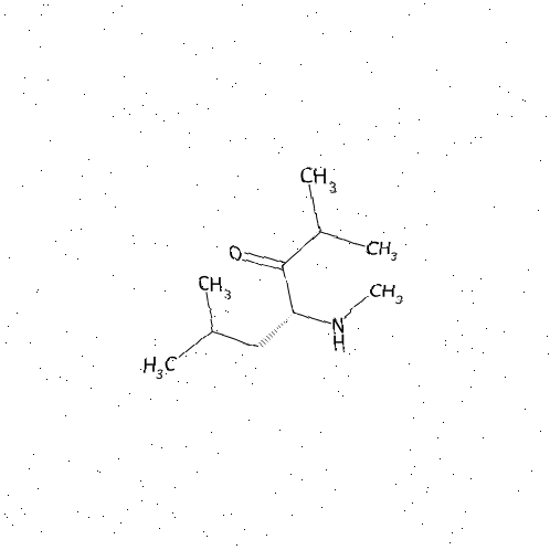 CN[C@H](CC(C)C)C(=O)C(C)C